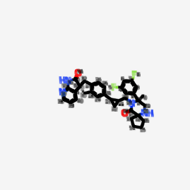 C[C@@]1(c2cc(F)cc(F)c2)CNC2(CCCC2)C(=O)N1CC1CC1c1ccc2c(c1)C[C@@]1(C2)C(=O)Nc2ncccc21